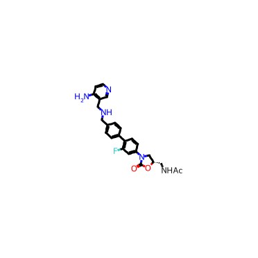 CC(=O)NC[C@H]1CN(c2ccc(-c3ccc(CNCc4cnccc4N)cc3)c(F)c2)C(=O)O1